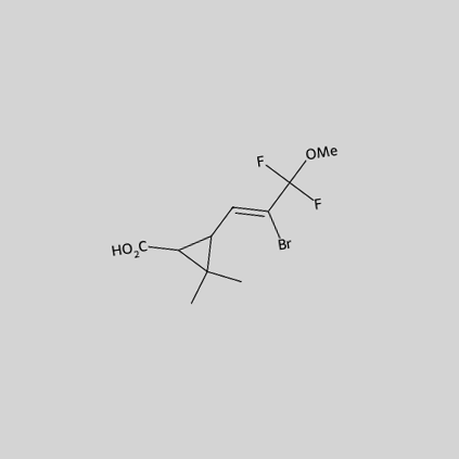 COC(F)(F)C(Br)=CC1C(C(=O)O)C1(C)C